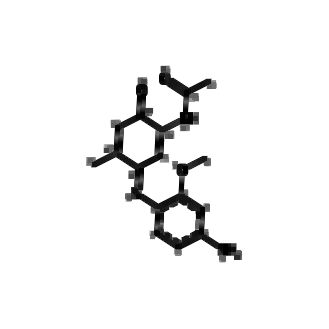 COc1cc(N)ccc1N=C1C=C(NC(C)=O)C(=O)C=C1C